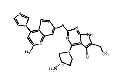 CCc1[nH]c2nc(Sc3ccc4c(-n5ccnc5)cc(C)nc4c3)nc(N3CC[C@H](N)C3)c2c1Cl